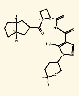 C=C(NC(=O)c1cnn(C2CCC(F)(F)CC2)c1N)[C@H]1CC[C@@H]1C(=O)N1C[C@H]2CCC[C@H]2C1